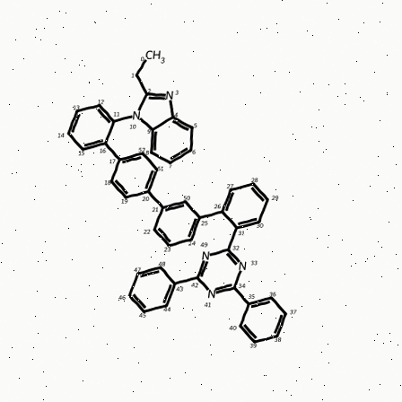 CCc1nc2ccccc2n1-c1ccccc1-c1ccc(-c2cccc(-c3ccccc3-c3nc(-c4ccccc4)nc(-c4ccccc4)n3)c2)cc1